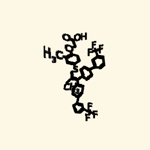 CCC(CSc1ccc(OCC(=O)O)c(C)c1)=C(c1ccc(-c2cccc(C(F)(F)F)c2)cc1)c1ccc(-c2cccc(C(F)(F)F)c2)cc1